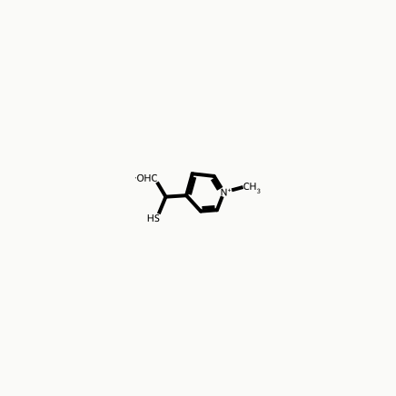 C[n+]1ccc(C(S)[C]=O)cc1